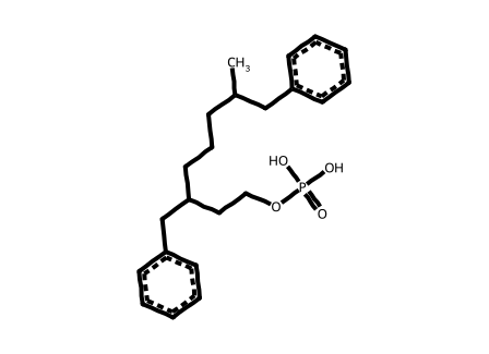 CC(CCCC(CCOP(=O)(O)O)Cc1ccccc1)Cc1ccccc1